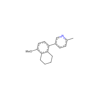 COc1ccc(-c2ccc(C)nc2)c2c1CCCC2